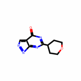 O=C1N=C(C2CCOCC2)N=C2N=NC=C12